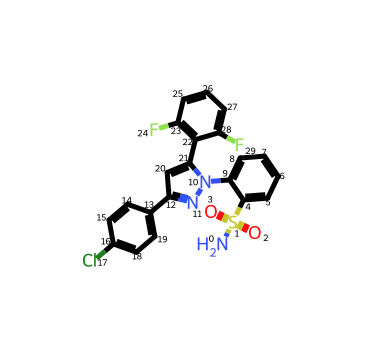 NS(=O)(=O)c1ccccc1-n1nc(-c2ccc(Cl)cc2)cc1-c1c(F)cccc1F